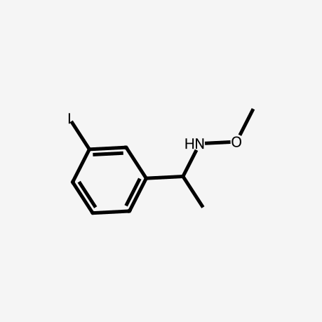 CONC(C)c1cccc(I)c1